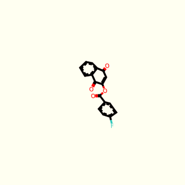 O=C(OC1=CC(=O)c2ccccc2C1=O)c1ccc(F)cc1